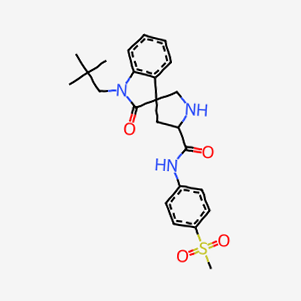 CC(C)(C)CN1C(=O)C2(CNC(C(=O)Nc3ccc(S(C)(=O)=O)cc3)C2)c2ccccc21